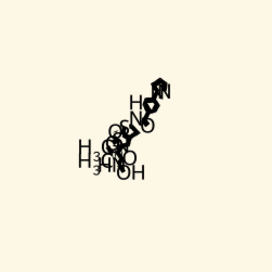 CC(C)[C@H](C(=O)NO)N1CC2=C(SC(NC(=O)c3ccc(-n4cccn4)cc3)C2)S1(=O)=O